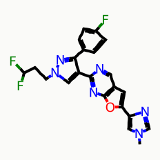 Cn1cnc(-c2cc3cnc(-c4cn(CCC(F)F)nc4-c4ccc(F)cc4)nc3o2)c1